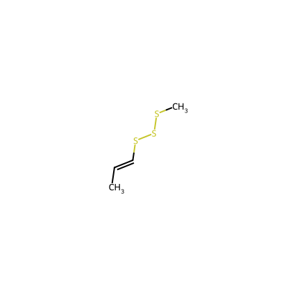 CC=CSSSC